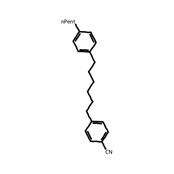 CCCCCc1ccc(CCCCCCc2ccc(C#N)cc2)cc1